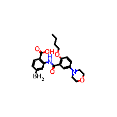 Bc1ccc(C(=O)O)c(NC(=O)c2cc(N3CCOCC3)ccc2OCCCC)c1